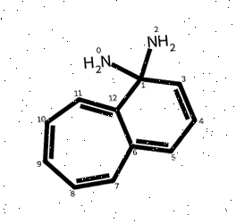 NC1(N)C=CC=C2C=CC=CC=C21